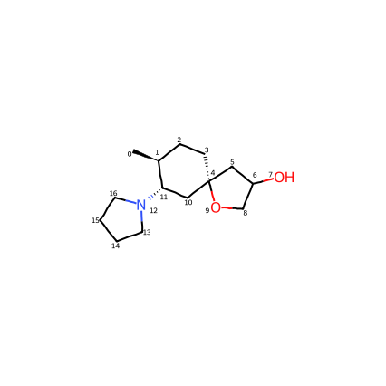 C[C@H]1CC[C@@]2(CC(O)CO2)C[C@@H]1N1CCCC1